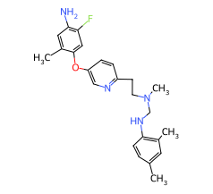 Cc1ccc(NCN(C)CCc2ccc(Oc3cc(F)c(N)cc3C)cn2)c(C)c1